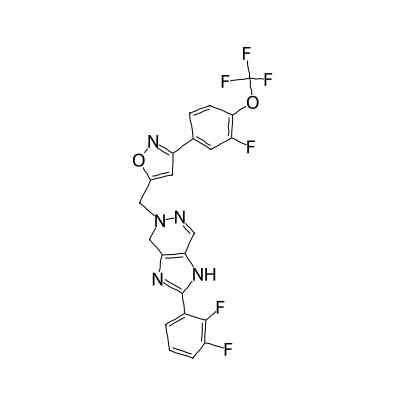 Fc1cc(-c2cc(CN3Cc4nc(-c5cccc(F)c5F)[nH]c4C=N3)on2)ccc1OC(F)(F)F